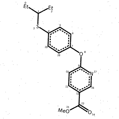 CCC(CC)Sc1ccc(Oc2ccc(C(=O)OC)cn2)cc1